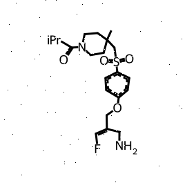 CC(C)C(=O)N1CCC(C)(CS(=O)(=O)c2ccc(OCC(=CF)CN)cc2)CC1